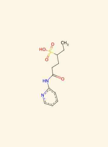 CCC(CCC(=O)Nc1ccccn1)S(=O)(=O)O